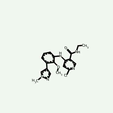 CCNC(=O)c1cnc(Cl)cc1Nc1cccc(-c2cnn(C)c2)c1OC